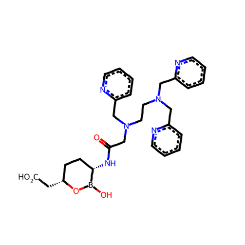 O=C(O)C[C@@H]1CC[C@H](NC(=O)CN(CCN(Cc2ccccn2)Cc2ccccn2)Cc2ccccn2)B(O)O1